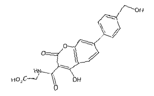 O=C(O)CNC(=O)c1c(O)c2ccc(-c3ccc(CO)cc3)cc2oc1=O